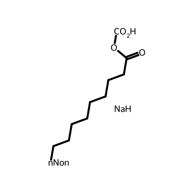 CCCCCCCCCCCCCCCCCC(=O)OC(=O)O.[NaH]